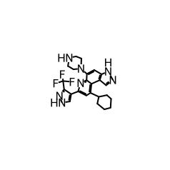 FC(F)(F)c1n[nH]cc1-c1cc(C2CCCCC2)c2c(n1)c(N1CCNCC1)cc1[nH]ncc12